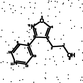 OCCc1conc1-c1ccncc1